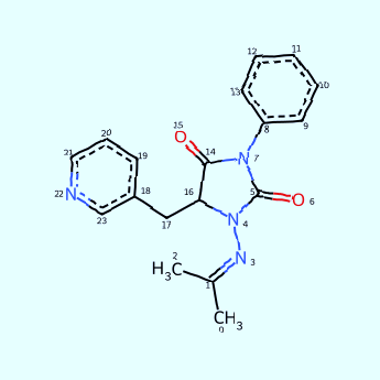 CC(C)=NN1C(=O)N(c2ccccc2)C(=O)C1Cc1cccnc1